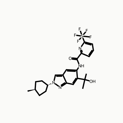 CC(C)(O)c1cc2nn([C@H]3CC[C@H](C)CC3)cc2cc1NC(=O)c1cccc(S(F)(F)(F)(F)F)n1